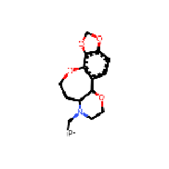 CC(C)CN1CCOC2c3ccc4c(c3OCCC21)OCO4